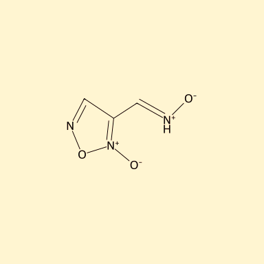 [O-][NH+]=Cc1cno[n+]1[O-]